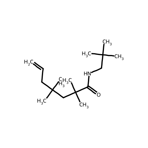 C=CCC(C)(C)CC(C)(C)C(=O)NCC(C)(C)C